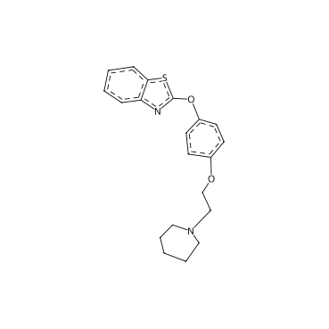 c1ccc2sc(Oc3ccc(OCCN4CCCCC4)cc3)nc2c1